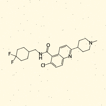 CN1CCC(c2ccc3c(C(=O)NCC4CCC(F)(F)CC4)c(Cl)ccc3n2)CC1